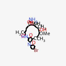 COC1/C=C\C=C(/C)C(=O)Nc2cc3nc4ccc(Br)cc4oc-3c(c2=O)CC(C)CC(OC)C(O)C(C)/C=C(\C)C1OC(N)=O